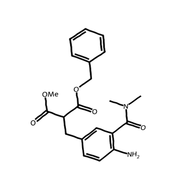 COC(=O)C(Cc1ccc(N)c(C(=O)N(C)C)c1)C(=O)OCc1ccccc1